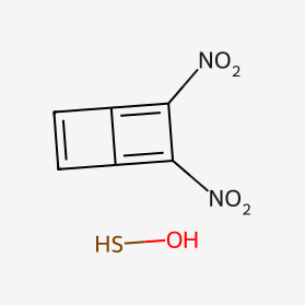 O=[N+]([O-])c1c2ccc-2c1[N+](=O)[O-].OS